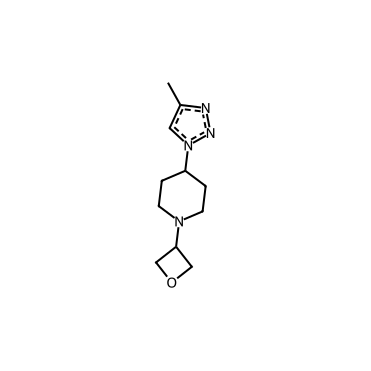 Cc1cn(C2CCN(C3COC3)CC2)nn1